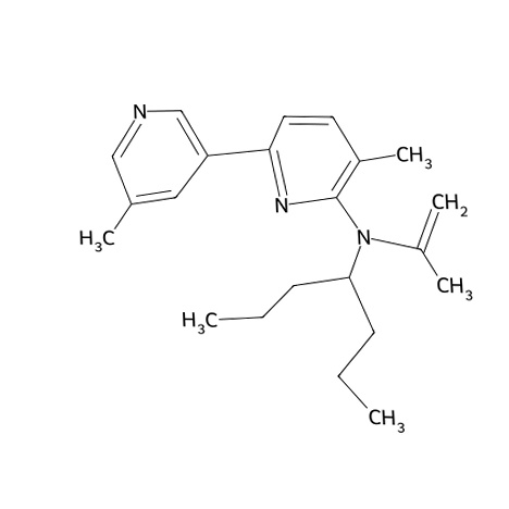 C=C(C)N(c1nc(-c2cncc(C)c2)ccc1C)C(CCC)CCC